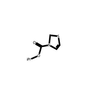 CC(C)OC(=O)N1C=CSC1